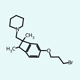 CC1c2ccc(OCCCBr)cc2C1(C)CN1CCCCC1